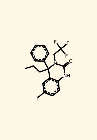 CCCC1(c2ccccc2)c2cc(I)ccc2NC(=O)N1CC(F)(F)F